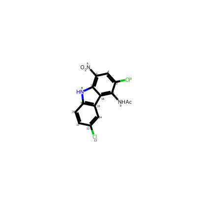 CC(=O)Nc1c(Cl)cc([N+](=O)[O-])c2[nH]c3ccc(Cl)cc3c12